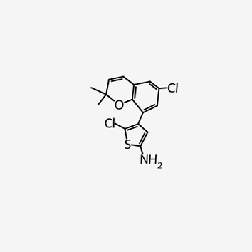 CC1(C)C=Cc2cc(Cl)cc(-c3cc(N)sc3Cl)c2O1